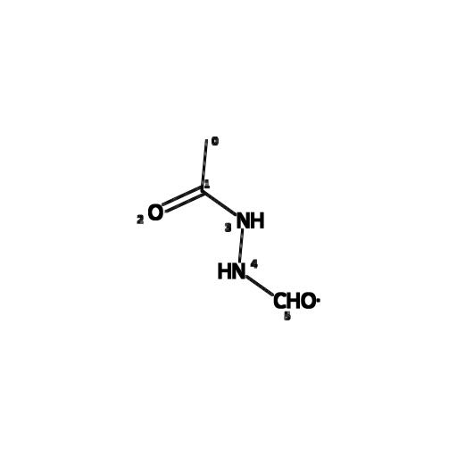 CC(=O)NN[C]=O